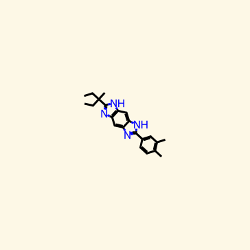 CCC(C)(CC)c1nc2cc3nc(-c4ccc(C)c(C)c4)[nH]c3cc2[nH]1